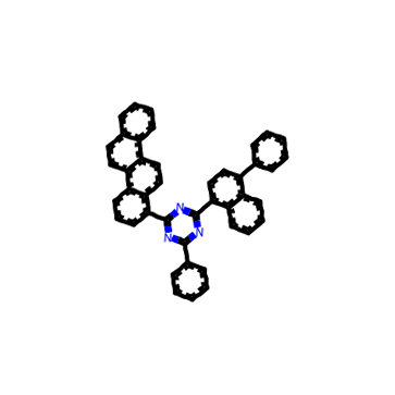 c1ccc(-c2nc(-c3ccc(-c4ccccc4)c4ccccc34)nc(-c3cccc4c3ccc3c5ccccc5ccc43)n2)cc1